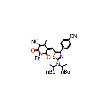 CCCCC(C)N(c1nc(-c2ccc(C#N)cc2)c(/C=C2\C(=O)N(CC)C(=O)C(C#N)=C2C)s1)C(C)CCCC